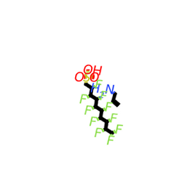 C=CCN.O=S(=O)(O)CC(F)C(F)C(F)C(F)C(F)C(F)C(F)C(F)C(F)F